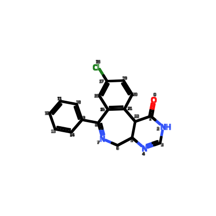 O=C1NC=NC2CN=C(c3ccccc3)c3cc(Cl)ccc3C12